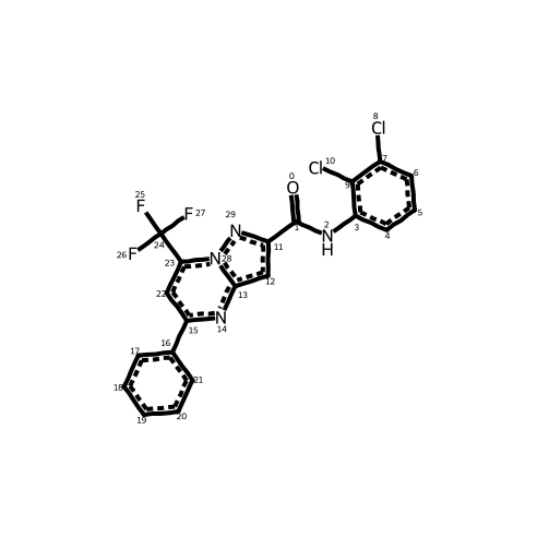 O=C(Nc1cccc(Cl)c1Cl)c1cc2nc(-c3ccccc3)cc(C(F)(F)F)n2n1